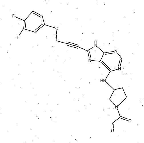 C=CC(=O)N1CCC(Nc2ncnc3[nH]c(C#CCOc4ccc(F)c(F)c4)nc23)C1